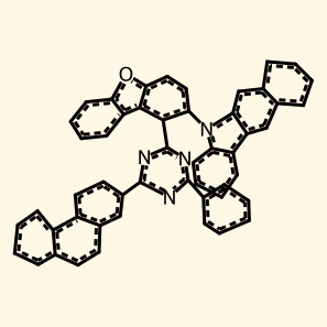 c1ccc(-c2nc(-c3ccc4c(ccc5ccccc54)c3)nc(-c3c(-n4c5ccccc5c5cc6ccccc6cc54)ccc4oc5ccccc5c34)n2)cc1